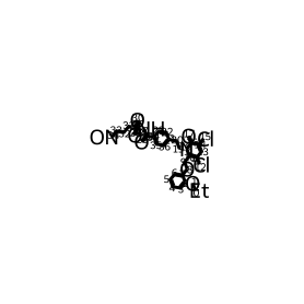 CCOc1ccccc1OCc1c(Cl)cc(Cl)c(=O)n1CCc1ccc(C(=O)NS(=O)(=O)CCCN=O)cc1